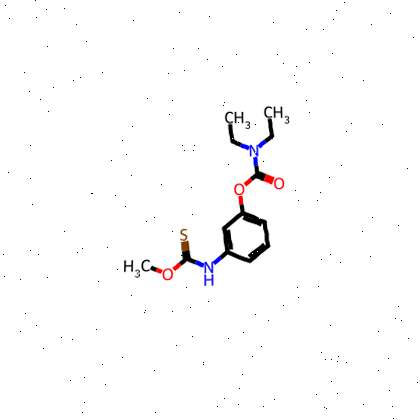 CCN(CC)C(=O)Oc1cccc(NC(=S)OC)c1